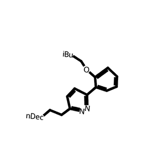 CCCCCCCCCCCCc1ccc(-c2ccccc2OCC(C)CC)nn1